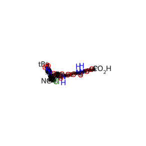 CC(C)(C)OC(=O)N1CCN([C@H]2Cc3c(C#N)cc(Cl)cc3[C@@H]2Oc2ccc(S(=O)(=O)NCCOCCOCCNC(=O)NCCOCCOCC(=O)O)cc2)CC1